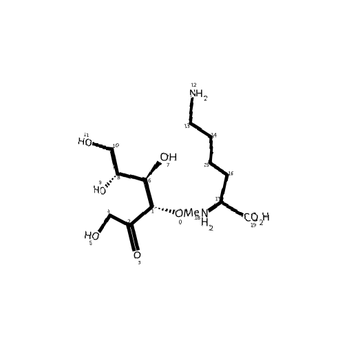 CO[C@H](C(=O)CO)[C@H](O)[C@H](O)CO.NCCCCC(N)C(=O)O